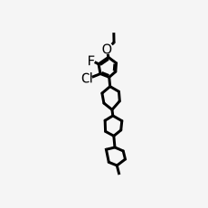 CCOc1ccc(C2CCC(C3CCC(C4CCC(C)CC4)CC3)CC2)c(Cl)c1F